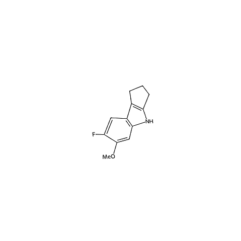 COc1cc2[nH]c3c(c2cc1F)CCC3